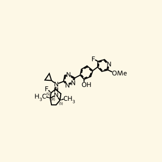 COc1cc(-c2ccc(-c3ncc(N(C4CC4)[C@H]4C[C@]5(C)CC[C@@](C)(N5)[C@H]4F)nn3)c(O)c2)c(F)cn1